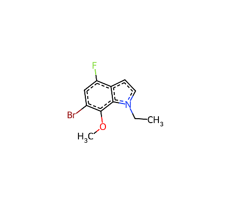 CCn1ccc2c(F)cc(Br)c(OC)c21